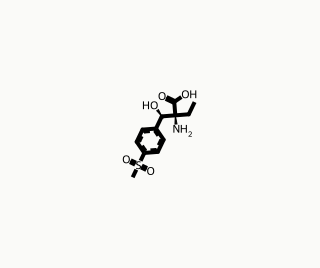 CC[C@@](N)(C(=O)O)[C@H](O)c1ccc(S(C)(=O)=O)cc1